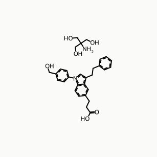 NC(CO)(CO)CO.O=C(O)CCc1ccc2c(c1)c(CCc1ccccc1)cn2-c1ccc(CO)cc1